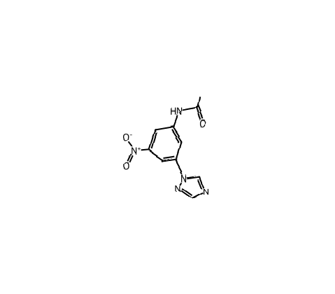 CC(=O)Nc1cc(-n2cncn2)cc([N+](=O)[O-])c1